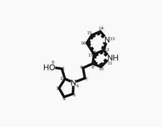 OCC1CCCN1CCc1c[nH]c2ncccc12